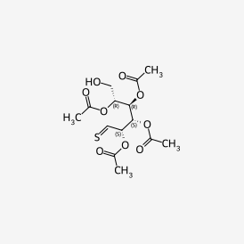 CC(=O)O[C@@H]([C@H](OC(C)=O)[C@@H](CO)OC(C)=O)[C@@H](C=S)OC(C)=O